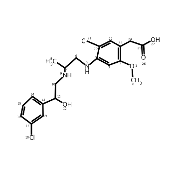 COc1cc(NCC(C)NCC(O)c2cccc(Cl)c2)c(Cl)cc1CC(=O)O